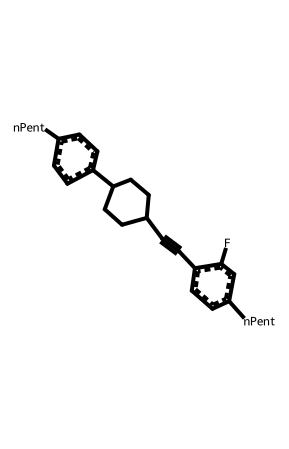 CCCCCc1ccc(C2CCC(C#Cc3ccc(CCCCC)cc3F)CC2)cc1